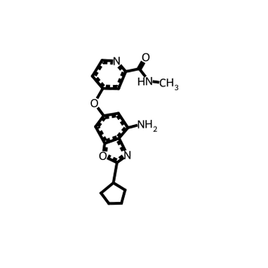 CNC(=O)c1cc(Oc2cc(N)c3nc(C4CCCC4)oc3c2)ccn1